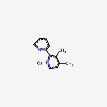 Cc1ccnc(-c2ccccn2)c1C.[Os]